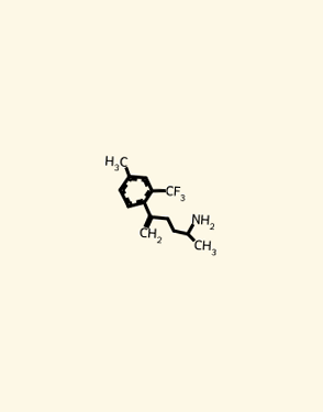 C=C(CCC(C)N)c1ccc(C)cc1C(F)(F)F